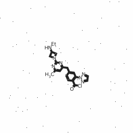 CCNC1CN(c2nc(C)cc(Cc3ccc(C(=O)Cl)c(-n4nccn4)c3)n2)C1